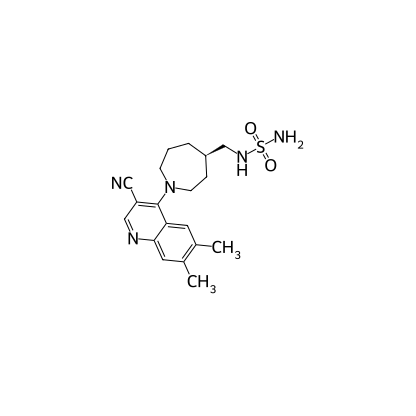 Cc1cc2ncc(C#N)c(N3CCC[C@@H](CNS(N)(=O)=O)CC3)c2cc1C